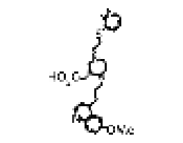 COc1ccc2nccc(CCC[C@@H]3CCN(CCSc4cccnn4)C[C@@H]3CC(=O)O)c2c1